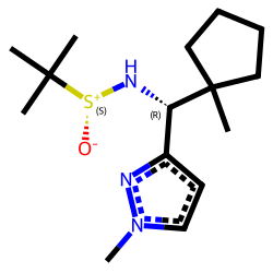 Cn1ccc([C@H](N[S@+]([O-])C(C)(C)C)C2(C)CCCC2)n1